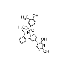 CCC1c2ccccc2-c2cc(-c3cnc(O)nc3O)ccc2N1S(=O)(=O)c1ccc(O)c(C)c1